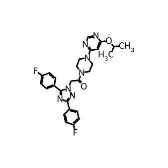 CC(C)Oc1cc(N2CCN(C(=O)Cn3nc(-c4ccc(F)cc4)nc3-c3ccc(F)cc3)CC2)ncn1